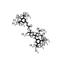 CCC1(COC(=O)CCc2cc(C(C)(C)C)c(O)c(C(C)(C)C)c2)COC(C(COC(C)=O)(COC(C)=O)Cc2cc(C(C)(C)C)c(O)c(C(C)(C)C)c2)=N1